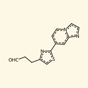 O=CCCc1csc(-c2ccn3ccnc3c2)n1